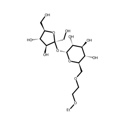 CCOCCOC[C@H]1O[C@H](O[C@]2(CO)O[C@H](CO)[C@@H](O)[C@@H]2O)[C@H](O)[C@@H](O)[C@@H]1O